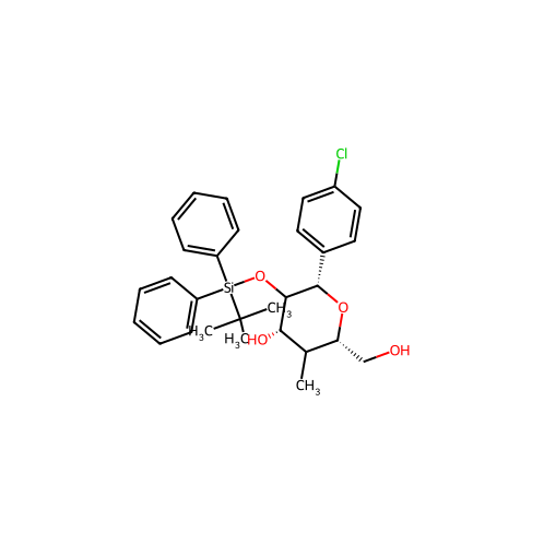 CC1[C@H](O)C(O[Si](c2ccccc2)(c2ccccc2)C(C)(C)C)[C@H](c2ccc(Cl)cc2)O[C@@H]1CO